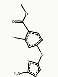 COC(=O)c1ccc(Oc2cnc(N)s2)cc1F